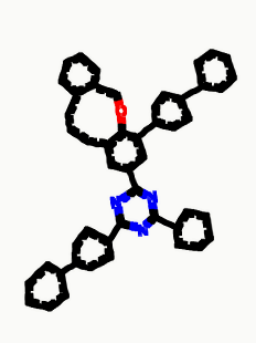 c1ccc(-c2ccc(-c3nc(-c4ccccc4)nc(-c4cc(-c5ccc(-c6ccccc6)cc5)c5occ6ccccc6cccc5c4)n3)cc2)cc1